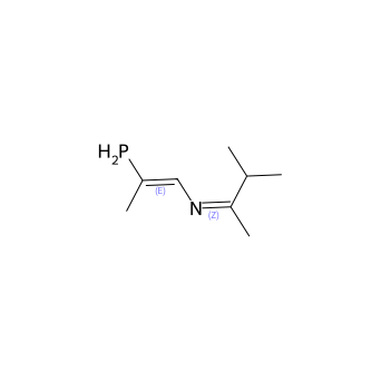 C/C(=N/C=C(\C)P)C(C)C